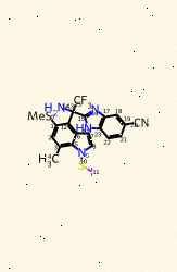 CSc1cc(C)c2c(ccn2SI)c1C(N)(c1nc2cc(C#N)ccc2[nH]1)C(F)(F)F